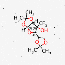 CC1(C)OCC([C@H]2O[C@@H]3OC(C)(C)O[C@@H]3[C@@]2(O)C(F)(F)F)O1